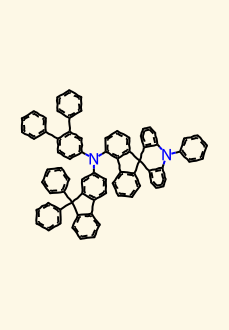 c1ccc(-c2ccc(N(c3ccc4c(c3)C(c3ccccc3)(c3ccccc3)c3ccccc3-4)c3cccc4c3-c3ccccc3C43c4ccccc4N(c4ccccc4)c4ccccc43)cc2-c2ccccc2)cc1